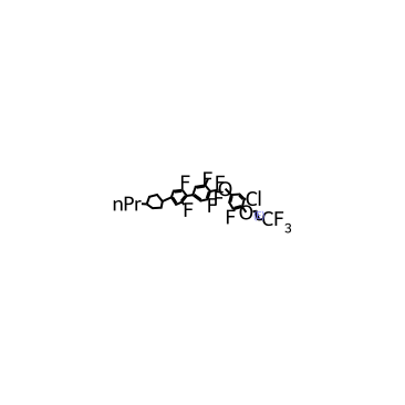 CCCC1CCC(c2cc(F)c(-c3cc(F)c(C(F)(F)Oc4cc(F)c(O/C=C/C(F)(F)F)c(Cl)c4)c(F)c3)c(F)c2)CC1